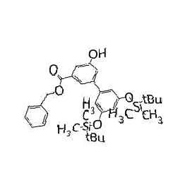 CC(C)(C)[Si](C)(C)Oc1cc(O[Si](C)(C)C(C)(C)C)cc(-c2cc(O)cc(C(=O)OCc3ccccc3)c2)c1